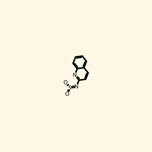 O=S(=O)=Nc1ccc2ccccc2n1